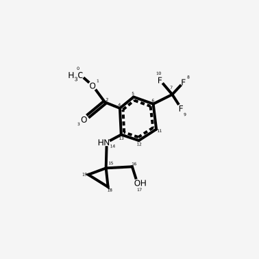 COC(=O)c1cc(C(F)(F)F)ccc1NC1(CO)CC1